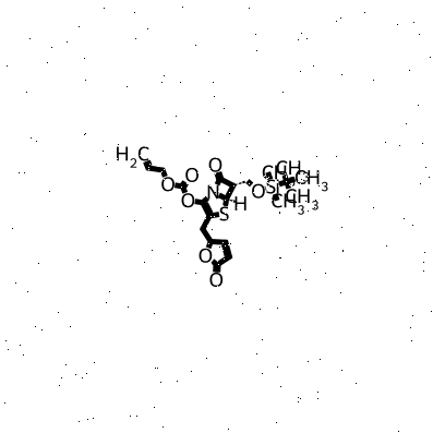 C=CCOC(=O)OC1=C(CC2C=CC(=O)O2)S[C@@H]2[C@@H](CO[Si](C)(C)C(C)(C)C)C(=O)N12